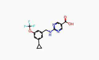 O=C(O)c1cnc(NCc2cc(OC(F)(F)F)cc(C3CC3)c2)nc1